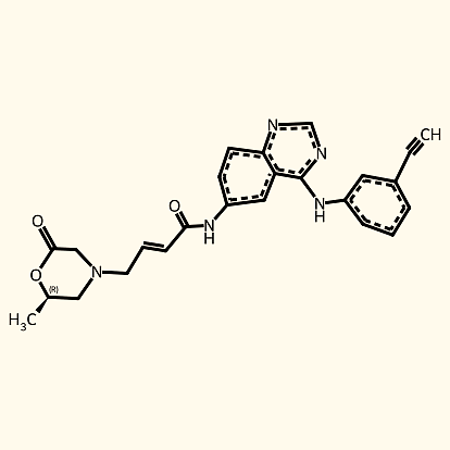 C#Cc1cccc(Nc2ncnc3ccc(NC(=O)C=CCN4CC(=O)O[C@H](C)C4)cc23)c1